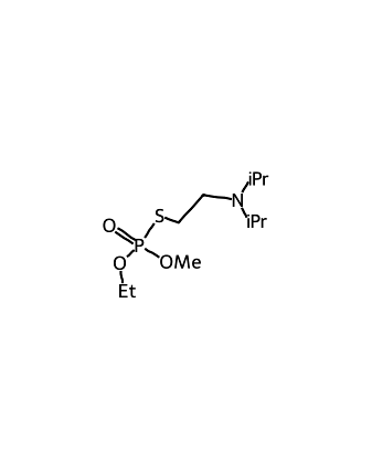 CCOP(=O)(OC)SCCN(C(C)C)C(C)C